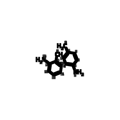 Cc1ccc(N)cc1.Cc1ccccc1N